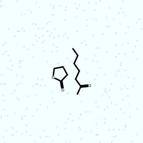 CCCCCC(C)=O.O=C1CCCO1